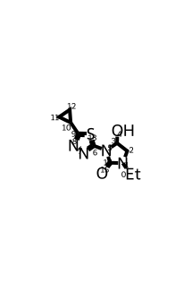 CCN1CC(O)N(c2nnc(C3CC3)s2)C1=O